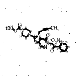 CC#CCn1c(N2CCN(C(=O)OC(C)(C)C)CC2)nc2cnn(CC(=O)c3ccccc3[N+](=O)[O-])c(=O)c21